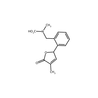 CC1=CC(c2ccccc2CN(C)C(=O)O)OC1=O